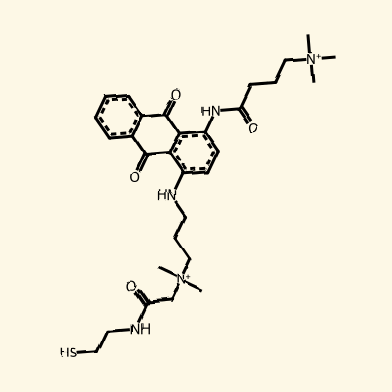 C[N+](C)(C)CCCC(=O)Nc1ccc(NCCC[N+](C)(C)CC(=O)NCCS)c2c1C(=O)c1ccccc1C2=O